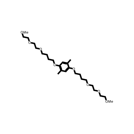 COCCOCCOCCCCOc1cc(C)c(OCCCCOCCOCCOC)cc1C